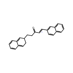 O=C(/C=C/c1ccc2ccccc2c1)CCC1C=c2ccccc2=CC1